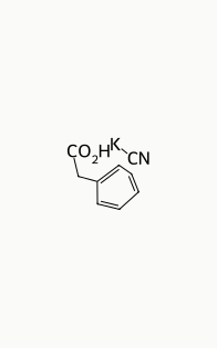 N#[C][K].O=C(O)Cc1ccccc1